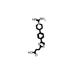 N=C(N)N1CCC(c2ccc(-c3csc(CCC(=O)O)n3)cc2)CC1